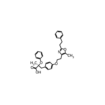 Cc1oc(CCc2ccccc2)nc1CCOc1ccc(C[C@](C)(Oc2ccccc2)C(=O)O)cc1